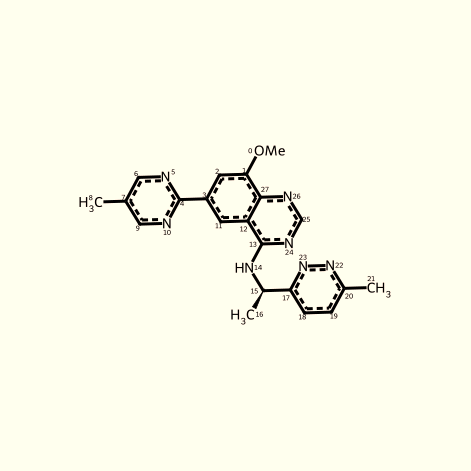 COc1cc(-c2ncc(C)cn2)cc2c(N[C@H](C)c3ccc(C)nn3)ncnc12